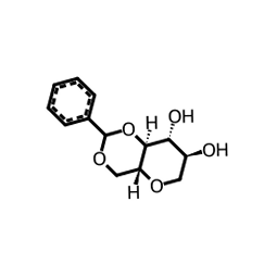 O[C@H]1[C@@H]2OC(c3ccccc3)OC[C@H]2OC[C@@H]1O